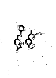 CCCCCCCC[S+]([O-])C(C)Cc1ccc2c(c1)OCO2.O=C1C[C@H]2SC(CSc3nccnn3)C=CN12